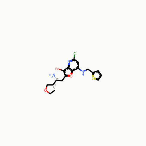 N[C@H](Cc1oc2c(NCc3cccs3)cc(Cl)nc2c1Br)[C@@H]1CCOC1